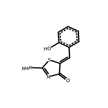 CNC1=NC(=O)C(=Cc2ccccc2O)S1